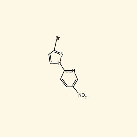 O=[N+]([O-])c1ccc(-n2ccc(Br)n2)nc1